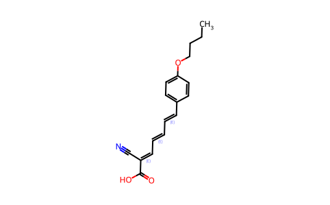 CCCCOc1ccc(/C=C/C=C/C=C(\C#N)C(=O)O)cc1